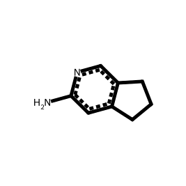 Nc1cc2c(cn1)CCC2